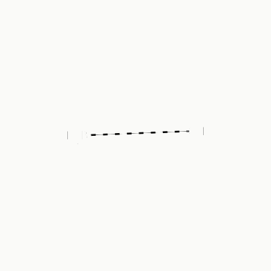 BC#CC#CC#CC#CC#CC#CC#CC#CC#C